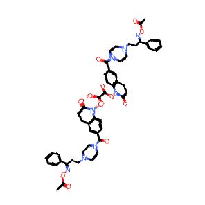 CC(=O)ON=C(CCN1CCN(C(=O)c2ccc3c(c2)CCC(=O)N3OC(=O)C(=O)ON2C(=O)CCc3cc(C(=O)N4CCN(CCC(=NOC(C)=O)c5ccccc5)CC4)ccc32)CC1)c1ccccc1